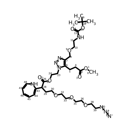 COC(=O)CCc1c(COCCNC(=O)OC(C)(C)C)nnn1CCOC(=O)C(CCOCCOCCOCCN=[N+]=[N-])C1=CC=CC=CN1